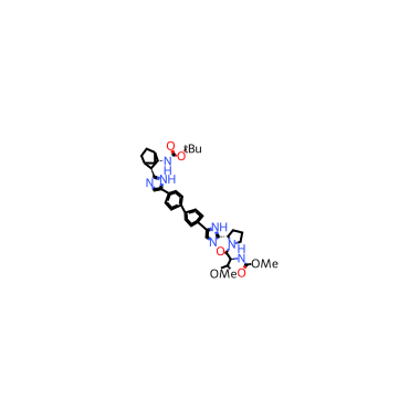 COC(=O)N[C@H](C(=O)N1CCC[C@H]1c1ncc(-c2ccc(-c3ccc(-c4cnc([C@H]5C6CCC(C6)[C@@H]5NC(=O)OC(C)(C)C)[nH]4)cc3)cc2)[nH]1)C(C)OC